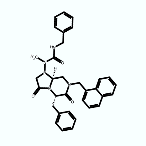 CN(C(=O)NCc1ccccc1)N1CC(=O)N2[C@@H](Cc3ccccc3)C(=O)N(Cc3cccc4ccccc34)C[C@@H]21